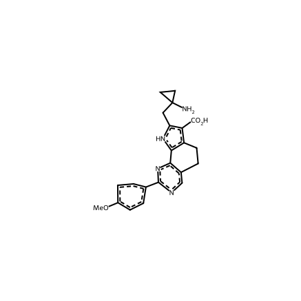 COc1ccc(-c2ncc3c(n2)-c2[nH]c(CC4(N)CC4)c(C(=O)O)c2CC3)cc1